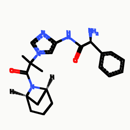 CC(C)(C(=O)N1[C@@H]2CCC[C@H]1C2)n1cnc(NC(=O)[C@@H](N)c2ccccc2)c1